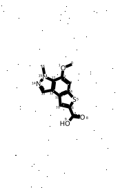 COc1cc2sc(C(=O)O)cc2c2cnn(C)c12